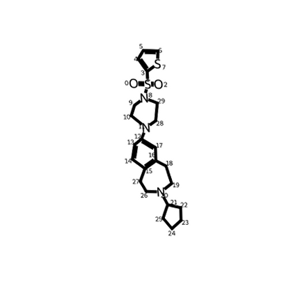 O=S(=O)(c1cccs1)N1CCN(c2ccc3c(c2)CCN(C2CCCC2)CC3)CC1